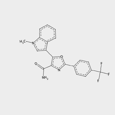 Cn1cc(-c2oc(-c3ccc(C(F)(F)F)cc3)nc2C(N)=O)c2ccccc21